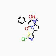 C[n+]1c(O)c(-c2ccccc2)c(=O)n2c1CCC2c1cnc(Cl)s1